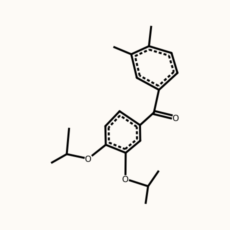 Cc1ccc(C(=O)c2ccc(OC(C)C)c(OC(C)C)c2)cc1C